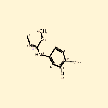 CS/C(=N\I)Nc1ccc(Cl)c(Cl)c1